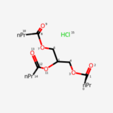 CCCC(=O)OCC(COC(=O)CCC)OC(=O)CCC.Cl